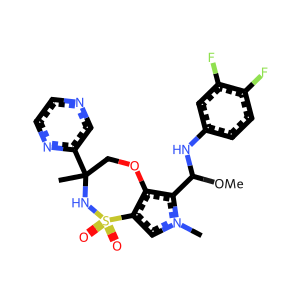 COC(Nc1ccc(F)c(F)c1)c1c2c(cn1C)S(=O)(=O)NC(C)(c1cnccn1)CO2